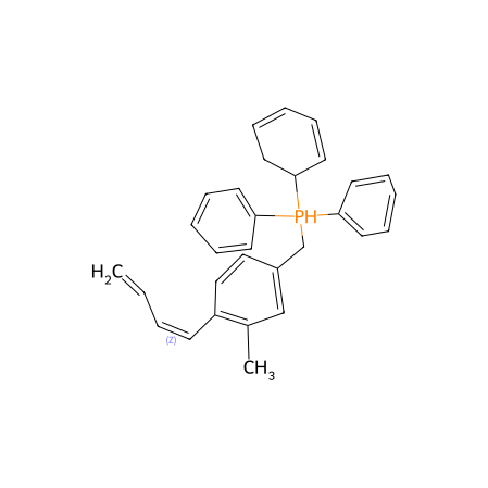 C=C/C=C\c1ccc(C[PH](c2ccccc2)(c2ccccc2)C2C=CC=CC2)cc1C